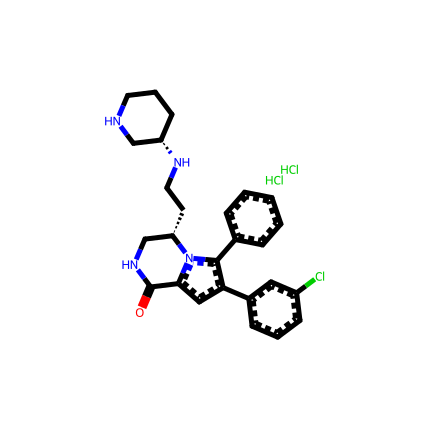 Cl.Cl.O=C1NC[C@H](CCN[C@H]2CCCNC2)n2c1cc(-c1cccc(Cl)c1)c2-c1ccccc1